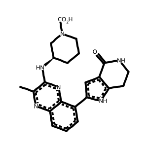 Cc1nc2cccc(-c3cc4c([nH]3)CCNC4=O)c2nc1N[C@@H]1CCCN(C(=O)O)C1